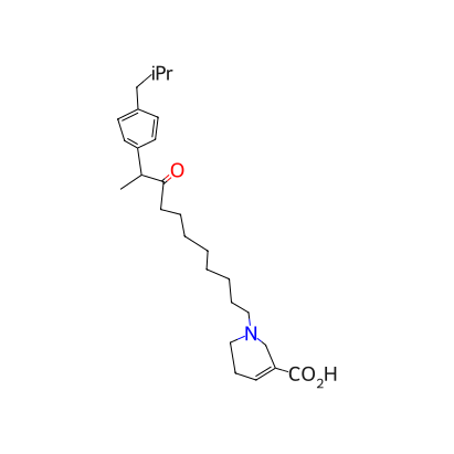 CC(C)Cc1ccc(C(C)C(=O)CCCCCCCCN2CCC=C(C(=O)O)C2)cc1